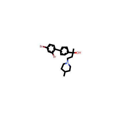 CC1CCN(CCC(C)(O)c2ccc(-c3ccc(Br)cc3Br)cc2)CC1